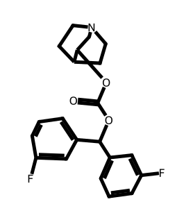 O=C(OC(c1cccc(F)c1)c1cccc(F)c1)OC1CN2CCC1CC2